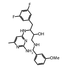 COc1cccc(CNCC(O)C(Cc2cc(F)cc(F)c2)Nc2cc(C)nc(N)n2)c1